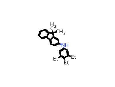 CCc1cc(Nc2ccc3c(c2)C(C)(C)c2ccccc2-3)cc(CC)c1CC